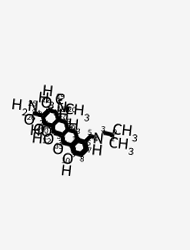 CC(C)CNCc1ccc(O)c2c1C[C@@H]1C[C@@H]3C(N(C)C)C(O)=C(C(N)=O)C(=O)[C@@]3(O)C(O)=C1C2=O